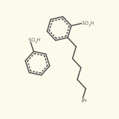 CC(C)CCCCCc1ccccc1S(=O)(=O)O.O=S(=O)(O)c1ccccc1